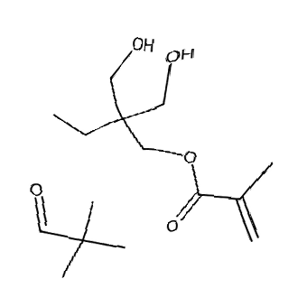 C=C(C)C(=O)OCC(CC)(CO)CO.CC(C)(C)C=O